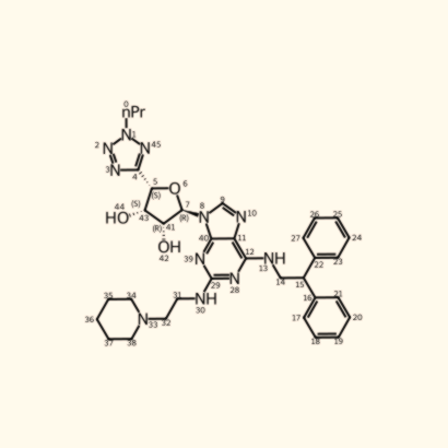 CCCn1nnc([C@@H]2O[C@@H](n3cnc4c(NCC(c5ccccc5)c5ccccc5)nc(NCCN5CCCCC5)nc43)[C@H](O)[C@@H]2O)n1